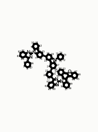 c1ccc(-c2nc(-n3c4ccccc4c4cc(-c5ccc6c(c5)c5cc(-c7cccc(-c8nc(-n9c%10ccccc%10c%10c%11c%12ccccc%12oc%11c%11ccccc%11c%109)nc9ccccc89)c7)ccc5n6-c5ccccc5)ccc43)nc3ccccc23)cc1